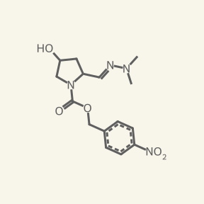 CN(C)N=CC1CC(O)CN1C(=O)OCc1ccc([N+](=O)[O-])cc1